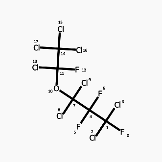 FC(Cl)(Cl)C(F)(F)C(Cl)(Cl)OC(F)(Cl)C(Cl)(Cl)Cl